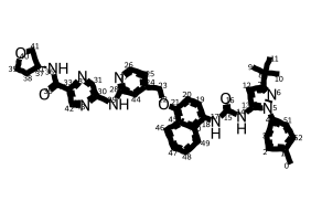 Cc1ccc(-n2nc(C(C)(C)C)cc2NC(=O)Nc2ccc(OCc3ccnc(Nc4cnc(C(=O)N[C@@H]5CCOC5)cn4)c3)c3ccccc23)cc1